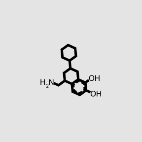 NCC1CC(C2CCCCC2)Cc2c1ccc(O)c2O